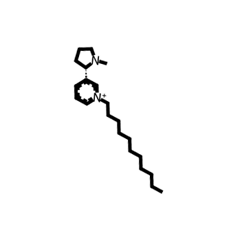 CCCCCCCCCCC[n+]1cccc([C@@H]2CCCN2C)c1